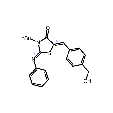 CCCCN1C(=O)/C(=C/c2ccc(CO)cc2)S/C1=N\c1ccccc1